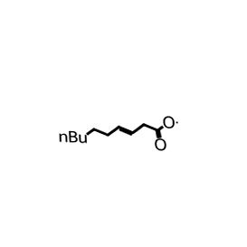 CCCCCCC=CCC([O])=O